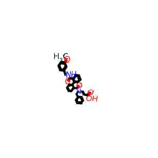 COc1cccc(CNC(=O)c2ccccc2-c2ccccc2C(=O)N(CCC(=O)O)Cc2ccccc2)c1